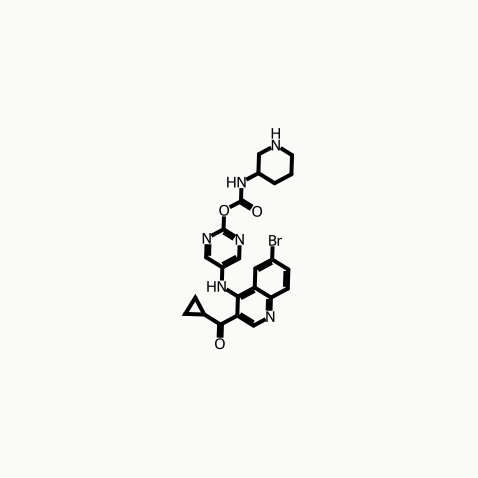 O=C(NC1CCCNC1)Oc1ncc(Nc2c(C(=O)C3CC3)cnc3ccc(Br)cc23)cn1